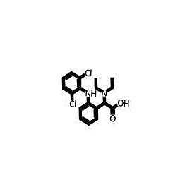 CCN(CC)C(C(=O)O)c1ccccc1Nc1c(Cl)cccc1Cl